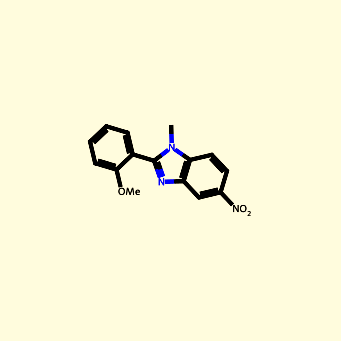 COc1ccccc1-c1nc2cc([N+](=O)[O-])ccc2n1C